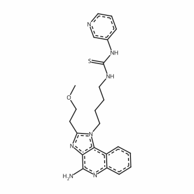 COCCc1nc2c(N)nc3ccccc3c2n1CCCCNC(=S)Nc1cccnc1